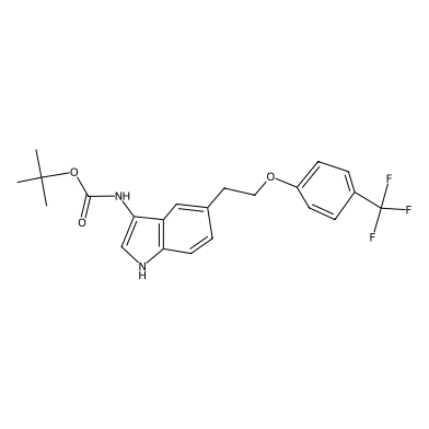 CC(C)(C)OC(=O)Nc1c[nH]c2ccc(CCOc3ccc(C(F)(F)F)cc3)cc12